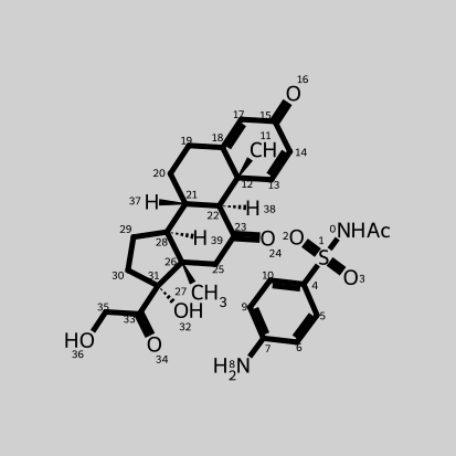 CC(=O)NS(=O)(=O)c1ccc(N)cc1.C[C@]12C=CC(=O)C=C1CC[C@@H]1[C@@H]2C(=O)C[C@@]2(C)[C@H]1CC[C@]2(O)C(=O)CO